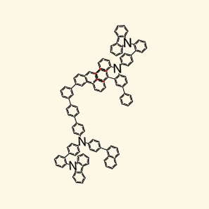 c1ccc(-c2ccc(N(c3ccc(-c4ccccc4-n4c5ccccc5c5ccccc54)cc3)c3cccc(-c4cc5ccc(-c6cccc(-c7ccc(-c8ccc(N(c9ccc(-c%10ccccc%10-n%10c%11ccccc%11c%11ccccc%11%10)cc9)c9ccc(-c%10cccc%11ccccc%10%11)cc9)cc8)cc7)c6)cc5c5ccccc45)c3)c(-c3ccccc3)c2)cc1